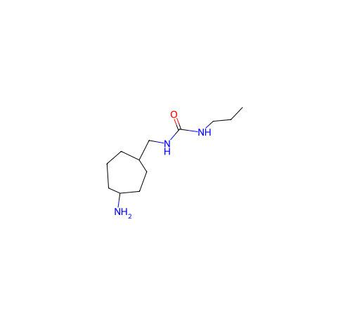 CCCNC(=O)NCC1CCCC(N)CC1